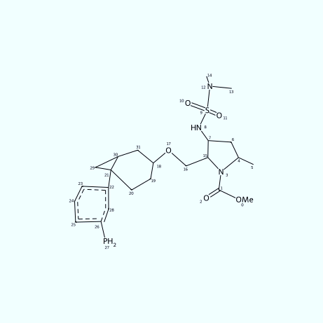 COC(=O)N1C(C)CC(NS(=O)(=O)N(C)C)C1COC1CCC2(c3cccc(P)c3)CC2C1